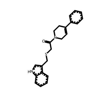 O=C(CSCc1c[nH]c2ccccc12)N1CC=C(c2ccccc2)CC1